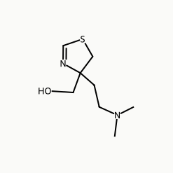 CN(C)CCC1(CO)CSC=N1